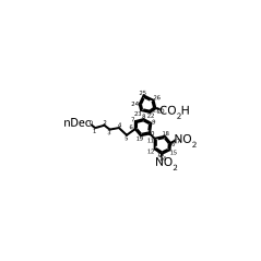 CCCCCCCCCCCCCCCc1cccc(-c2cc([N+](=O)[O-])cc([N+](=O)[O-])c2)c1.O=C(O)c1ccccc1